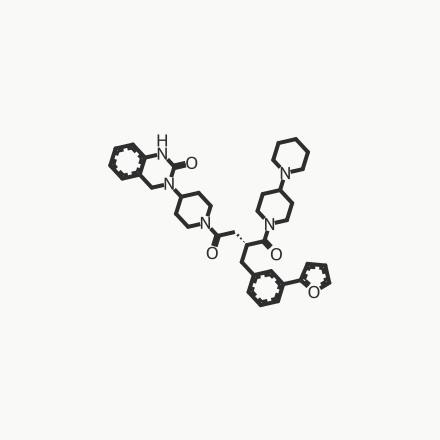 O=C(C[C@@H](Cc1cccc(-c2ccco2)c1)C(=O)N1CCC(N2CCCCC2)CC1)N1CCC(N2Cc3ccccc3NC2=O)CC1